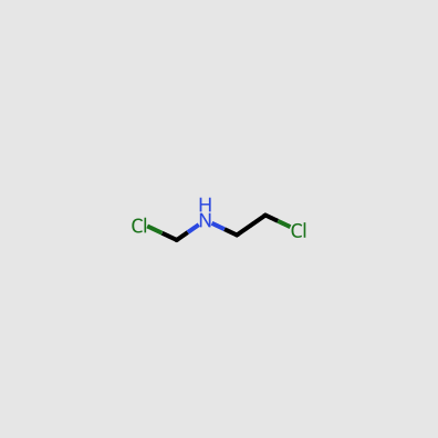 ClCCNCCl